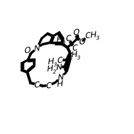 COC(=O)C(C)(C)C1c2ccc3c(c2)CN(CC3)C(=O)c2ccc(cc2)CCCCCNc2ccc1c(C)c2N